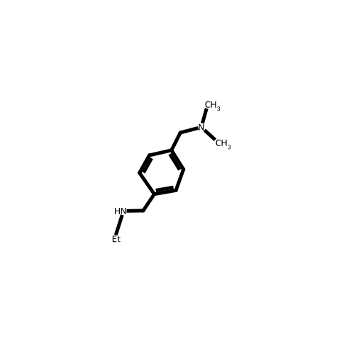 CCNCc1ccc(CN(C)C)cc1